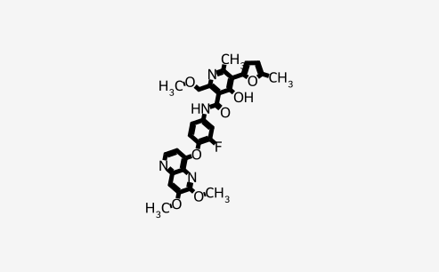 COCc1nc(C)c(-c2ccc(C)o2)c(O)c1C(=O)Nc1ccc(Oc2ccnc3cc(OC)c(OC)nc23)c(F)c1